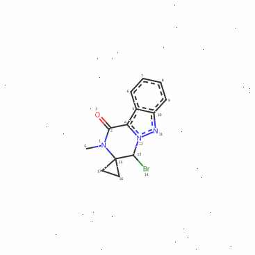 CN1C(=O)c2c3ccccc3nn2C(Br)C12CC2